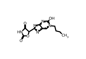 CCCCn1cc2nc(C3OC(=O)NC3=O)nc-2nc1O